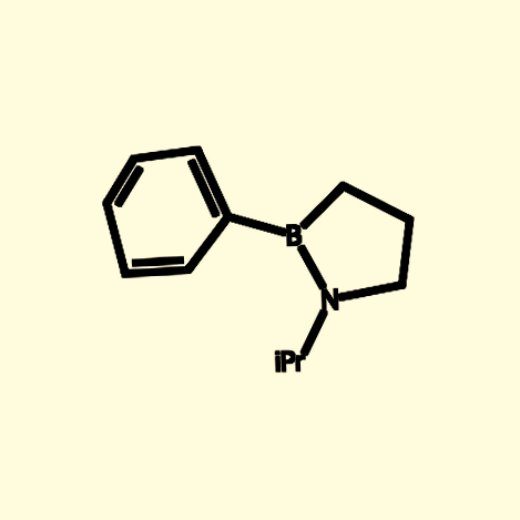 CC(C)N1CCCB1c1ccccc1